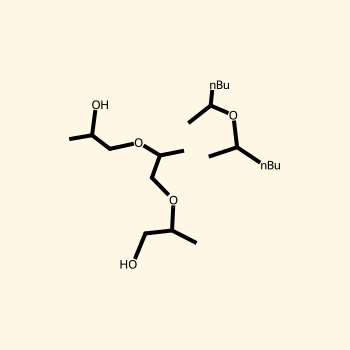 CC(O)COC(C)COC(C)CO.CCCCC(C)OC(C)CCCC